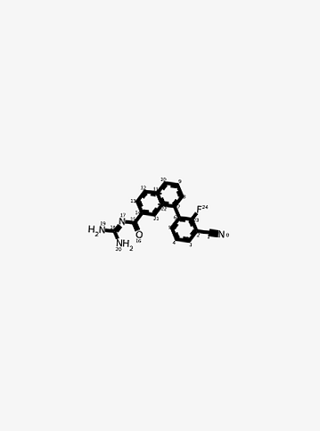 N#Cc1cccc(-c2cccc3ccc(C(=O)N=C(N)N)cc23)c1F